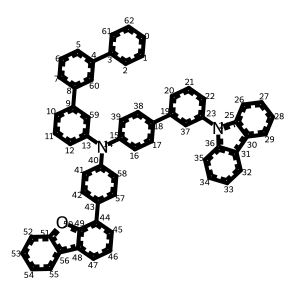 c1ccc(-c2cccc(-c3cccc(N(c4ccc(-c5cccc(-n6c7ccccc7c7ccccc76)c5)cc4)c4ccc(-c5cccc6c5oc5ccccc56)cc4)c3)c2)cc1